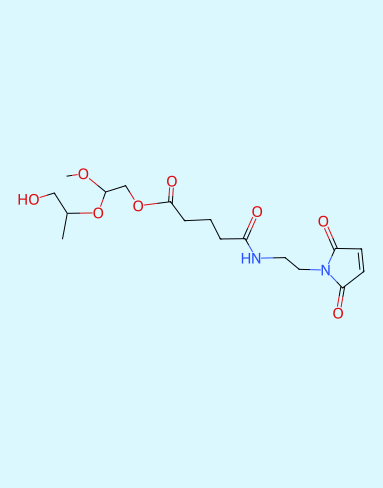 COC(COC(=O)CCCC(=O)NCCN1C(=O)C=CC1=O)OC(C)CO